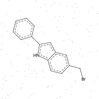 BrCc1ccc2[nH]c(-c3ccccc3)cc2c1